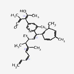 C=C/C=C\C=C(/C)C(C)C(/C=C(/C1=CC(C)C=C(C)C=C1)c1ncc(/C(C(C)=C=O)=C(\C)O)cc1C)CC